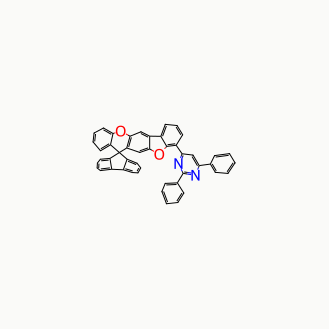 c1ccc(-c2cc(-c3cccc4c3oc3cc5c(cc34)Oc3ccccc3C53c4ccccc4-c4ccccc43)nc(-c3ccccc3)n2)cc1